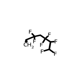 C=CC(F)(F)CC(F)(F)C(F)C(F)F